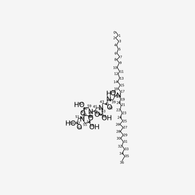 CCCCCCCCCCCCCCCCCCN(CCCCCCCCCCCCCCCCCC)C(=O)CNC(=O)CN(CCN(CCN(CC(=O)O)CC(=O)O)CC(=O)O)CC(=O)O